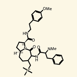 CNC(Cc1ccccc1)C(=O)NC1C(=O)N2[C@@H](CCC1C[N+](C)(C)C)CC[C@H]2C(=O)NCCc1ccc(OC)cc1